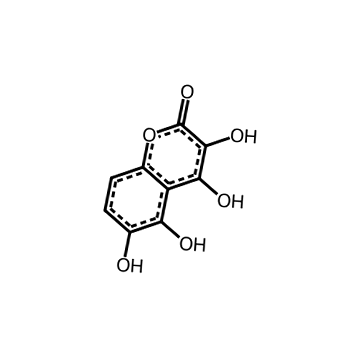 O=c1oc2ccc(O)c(O)c2c(O)c1O